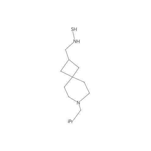 CC(C)CN1CCC2(CC1)CC(CNS)C2